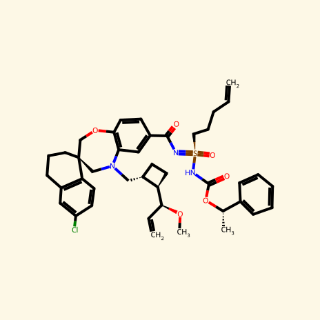 C=CCCC[S@](=O)(=NC(=O)c1ccc2c(c1)N(C[C@@H]1CC[C@H]1[C@H](C=C)OC)C[C@@]1(CCCc3cc(Cl)ccc31)CO2)NC(=O)O[C@@H](C)c1ccccc1